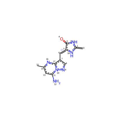 C=c1[nH]c(=O)/c(=C/c2cnn3c(N)cc(C)nc23)[nH]1